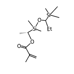 C=C(C)C(=O)O[C@H](C)[Si](C)(C)OC(CC)[Si](C)(C)C